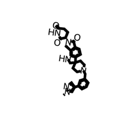 Cn1cc(-c2cccc(CN3CCC4(CC3)CNc3c4ccc4c3CN([C@H]3CCC(=O)NC3=O)C4=O)c2)cn1